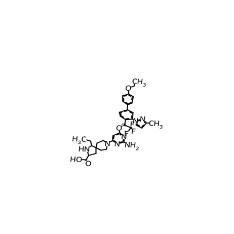 CCOc1ccc(-c2ccc([C@@H](Oc3cc(N4CCC5(CC4)CC(C(=O)O)NC5CC)nc(N)n3)C(F)(F)F)c(-n3ccc(C)n3)c2)cc1